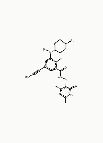 CCN(c1cc(C#CC(C)(C)C)cc(C(=O)NCc2c(C)cc(C)[nH]c2=O)c1C)[C@H]1CC[C@H](CC)CC1